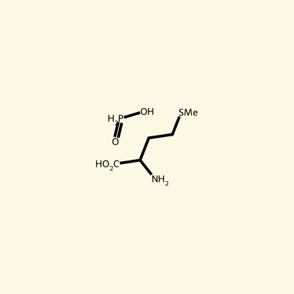 CSCCC(N)C(=O)O.O=[PH2]O